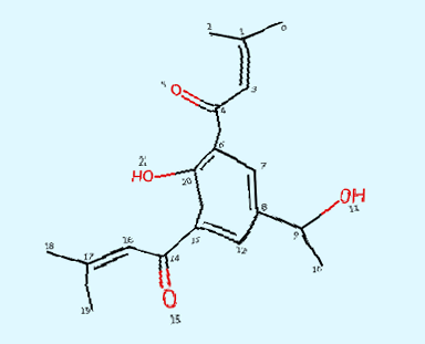 CC(C)=CC(=O)c1cc(C(C)O)cc(C(=O)C=C(C)C)c1O